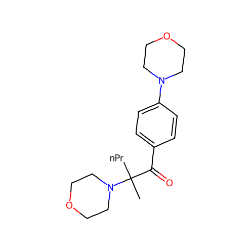 CCCC(C)(C(=O)c1ccc(N2CCOCC2)cc1)N1CCOCC1